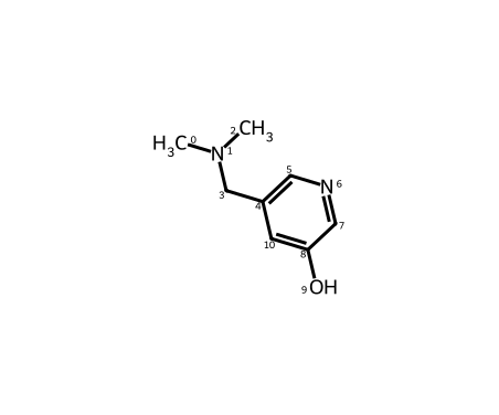 CN(C)Cc1cncc(O)c1